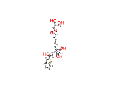 O=C(CCCCCCC1[C@@H](CC[C@@H](O)c2cc3ccccc3s2)[C@H](O)C[C@@H]1O)OCC(CO)CO